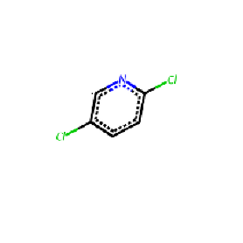 Clc1[c]nc(Cl)cc1